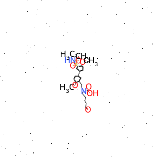 COc1ccc(-c2ccc(OC)c(S(=O)(=O)NC(C)C)c2)cc1CCN(CCCCC=O)C(=O)O